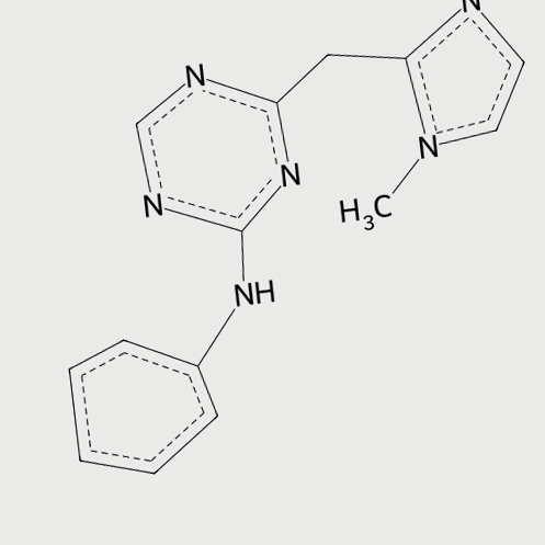 Cn1ccnc1Cc1ncnc(Nc2ccccc2)n1